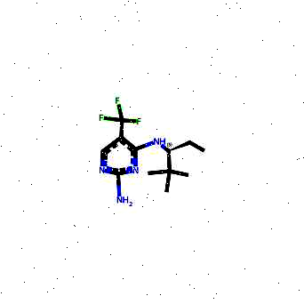 CC[C@H](Nc1nc(N)ncc1C(F)(F)F)C(C)(C)C